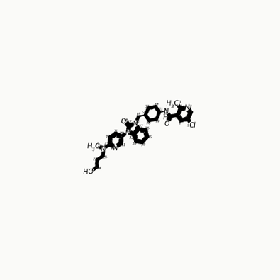 Cc1ncc(Cl)cc1C(=O)N[C@H]1CC[C@H](Cn2c(=O)n(-c3ccc(N(C)CCCO)nc3)c3ccccc32)CC1